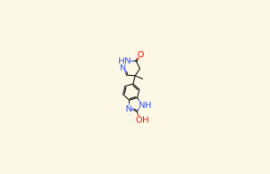 CC1(c2ccc3nc(O)[nH]c3c2)C=NNC(=O)C1